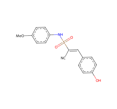 COc1ccc(NS(=O)(=O)C(C#N)=Cc2ccc(O)cc2)cc1